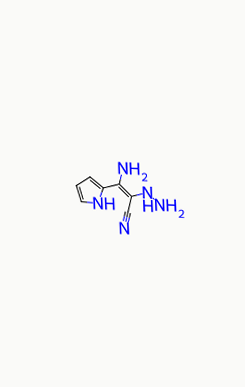 N#C/C(NN)=C(/N)c1ccc[nH]1